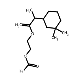 C=C(OCCOC(=O)C(C)C)C(C)C1CCCC(C)(C)C1